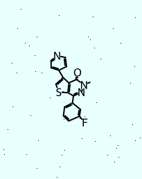 Cn1nc(-c2cccc(F)c2)c2scc(-c3ccncc3)c2c1=O